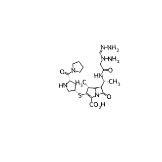 C[C@H]1C(S[C@@H]2CN[C@H](C(=O)N3CCCC3)C2)=C(C(=O)O)N2C(=O)[C@H]([C@@H](C)NC(=O)CN(N)/C=N\N)C12